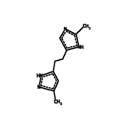 Cc1cc(CCc2cnc(C)[nH]2)[nH]n1